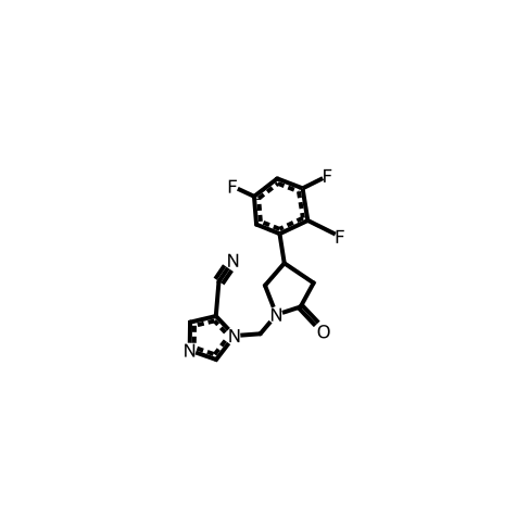 N#Cc1cncn1CN1CC(c2cc(F)cc(F)c2F)CC1=O